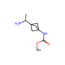 CC(N)C12CC(NC(=O)OC(C)(C)C)(C1)C2